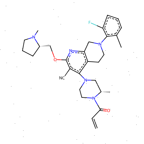 C=CC(=O)N1CCN(c2c(C#N)c(OC[C@@H]3CCCN3C)nc3c2CCN(c2c(C)cccc2F)C3)C[C@@H]1C